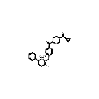 C[C@H]1CCC(c2ccccc2)S(=O)(=O)N1Cc1ccc(C(=O)N2CCN(C(=O)C3CC3)CC2)cc1